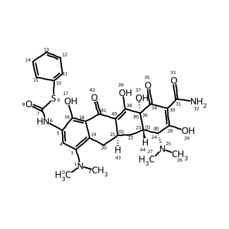 CN(C)c1cc(NC(=O)Sc2ccccc2)c(O)c2c1C[C@@H]1C[C@H]3[C@@H](N(C)C)C(O)=C(C(N)=O)C(=O)[C@]3(O)C(O)=C1C2=O